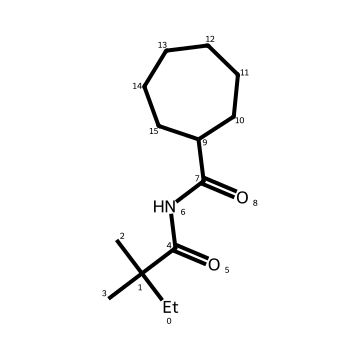 CCC(C)(C)C(=O)NC(=O)C1CCCCCC1